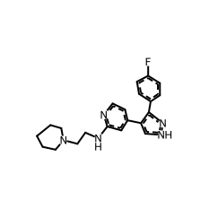 Fc1ccc(-c2n[nH]cc2-c2ccnc(NCCN3CCCCC3)c2)cc1